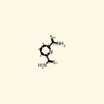 NC(=S)c1cccc(C(N)=S)n1